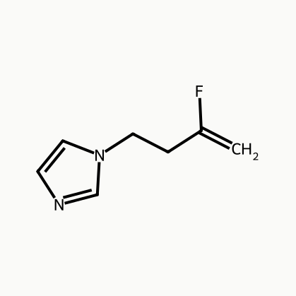 C=C(F)CCn1ccnc1